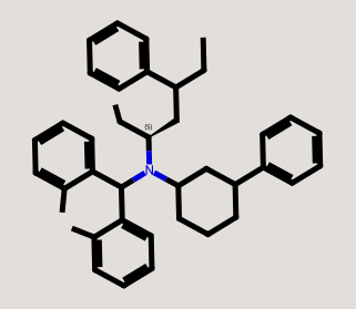 CCC(C[C@H](CC)N(C1CCCC(c2ccccc2)C1)C(c1ccccc1C)c1ccccc1C)c1ccccc1